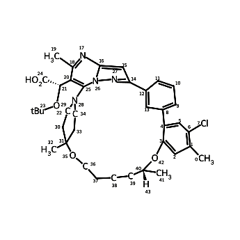 Cc1cc2c(cc1Cl)-c1cccc(c1)-c1cc3nc(C)c([C@H](OC(C)(C)C)C(=O)O)c(n3n1)N1CCC(C)(CC1)OCCCC[C@@H](C)O2